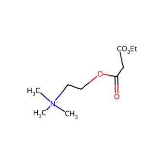 CCOC(=O)CC(=O)OCC[N+](C)(C)C